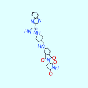 N=C/C(=C\NC1CCC(CNc2ccc3c(c2)C(=O)N(C2CCC(=O)NC2=O)C3=O)CC1)c1cnc2ccccc2n1